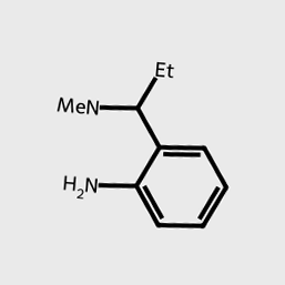 CCC(NC)c1ccccc1N